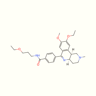 CCOCCCNC(=O)c1ccc(C2=N[C@@H]3CCN(C)C[C@@H]3c3cc(OCC)c(OC)cc32)cc1